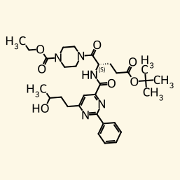 CCOC(=O)N1CCN(C(=O)[C@H](CCC(=O)OC(C)(C)C)NC(=O)c2cc(CCC(C)O)nc(-c3ccccc3)n2)CC1